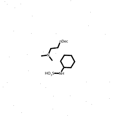 CCCCCCCCCCCCN(C)C.O=S(=O)(O)NC1CCCCC1